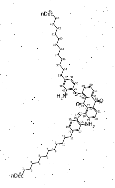 CCCCCCCCCCCCCCCCCCCCCCc1ccc(Sc2cccc3c2C(=O)c2c(Sc4ccc(CCCCCCCCCCCCCCCCCCCCCC)cc4N)cccc2C3=O)c(N)c1